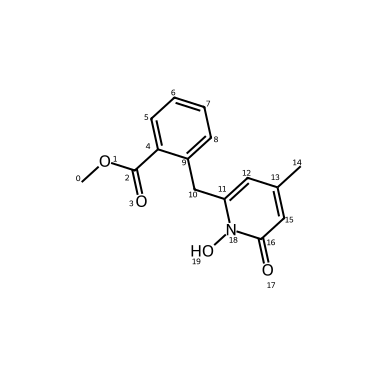 COC(=O)c1ccccc1Cc1cc(C)cc(=O)n1O